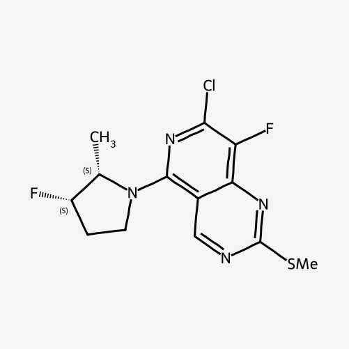 CSc1ncc2c(N3CC[C@H](F)[C@@H]3C)nc(Cl)c(F)c2n1